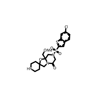 COCC12CN(S(=O)(=O)c3cc4ccc(Cl)cc4s3)CC(=O)N1CC1(CCNCC1)O2